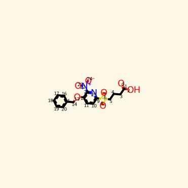 O=C(O)CCCS(=O)(=O)c1ccc(OCc2ccccc2)c([N+](=O)[O-])n1